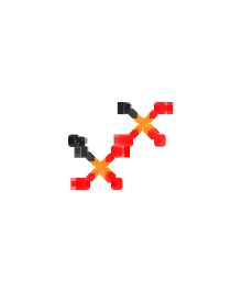 CCP(=O)(O)O.CCP(=O)(O)O.[Co]